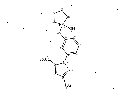 CCOC(=O)c1cc(C(C)(C)C)nn1-c1cccc(C[PH]2(O)CCCC2)c1